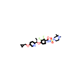 CC[C@@H](Oc1ccc(C(=O)NS(=O)(=O)N2CCN(C)C(C)(C)C2)c(F)c1F)c1ccc(OCC2CC2)cn1